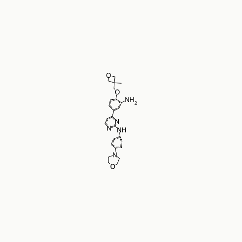 CC1(COc2ccc(-c3ccnc(Nc4ccc(N5CCOCC5)cc4)n3)cc2N)COC1